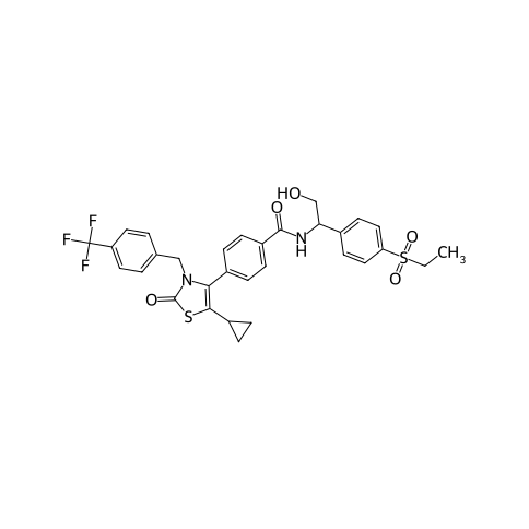 CCS(=O)(=O)c1ccc(C(CO)NC(=O)c2ccc(-c3c(C4CC4)sc(=O)n3Cc3ccc(C(F)(F)F)cc3)cc2)cc1